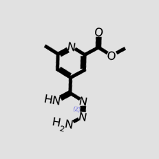 COC(=O)c1cc(C(=N)/N=N\N)cc(C)n1